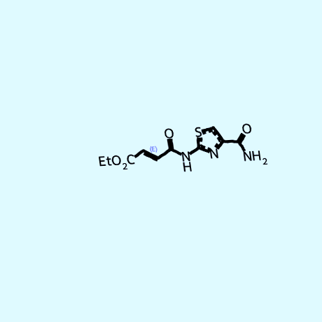 CCOC(=O)/C=C/C(=O)Nc1nc(C(N)=O)cs1